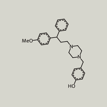 COc1ccc(C(CCN2CCN(Cc3ccc(O)cc3)CC2)c2ccccc2)cc1